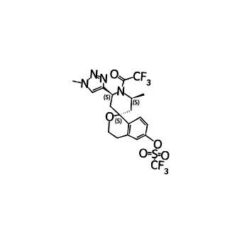 C[C@H]1C[C@@]2(C[C@@H](c3cn(C)nn3)N1C(=O)C(F)(F)F)OCCc1cc(OS(=O)(=O)C(F)(F)F)ccc12